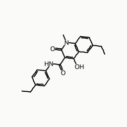 CCc1ccc(NC(=O)c2c(O)c3cc(CC)ccc3n(C)c2=O)cc1